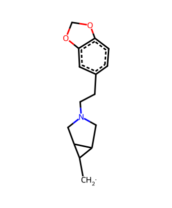 [CH2]C1C2CN(CCc3ccc4c(c3)OCO4)CC12